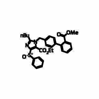 CCCCc1nc([S+]([O-])c2ccccc2)c(C(=O)OCC)n1Cc1ccc(-c2ccccc2C(=O)OC)cc1